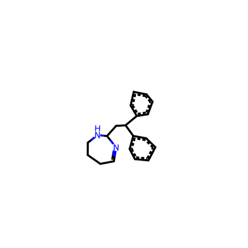 C1=NC(CC(c2ccccc2)c2ccccc2)NCCC1